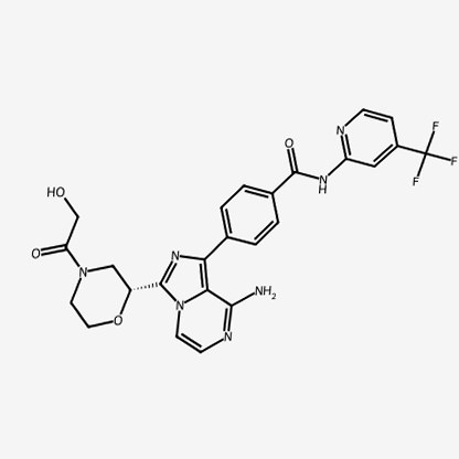 Nc1nccn2c([C@H]3CN(C(=O)CO)CCO3)nc(-c3ccc(C(=O)Nc4cc(C(F)(F)F)ccn4)cc3)c12